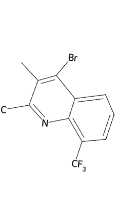 Cc1c(C(F)(F)F)nc2c(C(F)(F)F)cccc2c1Br